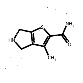 Cc1c(C(N)=O)sc2c1CNC2